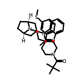 CSc1cccc(C2(CCN3[C@@H]4CC[C@H]3CC(n3c(C)nc5ccccc53)C4)CCN(C(=O)C(C)(C)C)CC2)c1